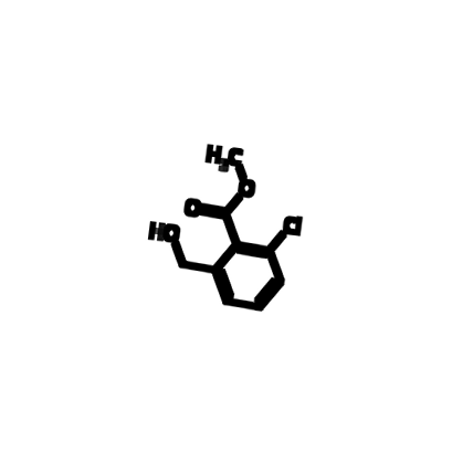 COC(=O)c1c(Cl)cccc1CO